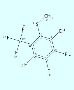 CSc1c(Cl)c(F)c(F)c(F)c1C(F)(F)F